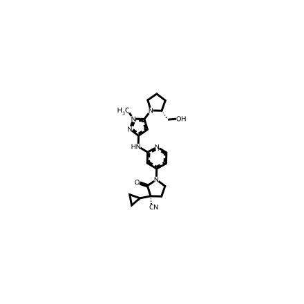 Cn1nc(Nc2cc(N3CC[C@@](C#N)(C4CC4)C3=O)ccn2)cc1N1CCC[C@@H]1CO